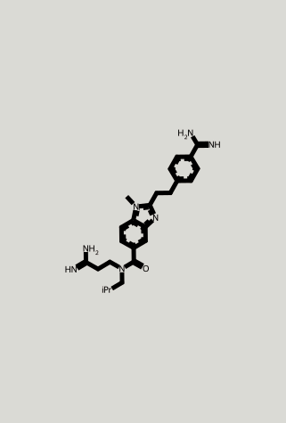 CC(C)CN(CCC(=N)N)C(=O)c1ccc2c(c1)nc(CCc1ccc(C(=N)N)cc1)n2C